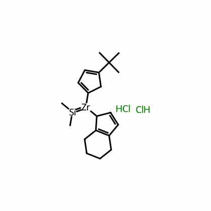 C[Si](C)=[Zr]([C]1=CC=C(C(C)(C)C)C1)[CH]1C=CC2=C1CCCC2.Cl.Cl